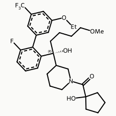 CCOc1cc(-c2c(F)cccc2[C@@](O)(CCCCOC)C2CCCN(C(=O)C3(O)CCCC3)C2)cc(C(F)(F)F)c1